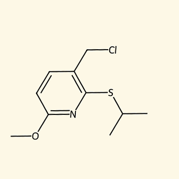 COc1ccc(CCl)c(SC(C)C)n1